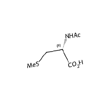 CSC[C@H](NC(C)=O)C(=O)O